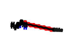 COCCOCCOCCOCCOCCOCCOCCOCCOCCOCCOCCNC(=O)CCC1(CCC(C)=O)c2ccccc2-c2cc3c(cc21)N=C(C)C3(C)C